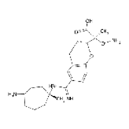 C[C@@]1(NC(=N)c2ccc3c(c2)CC[C@H]([C@](C)(ON)C(=O)O)O3)CCCC(N)CC1